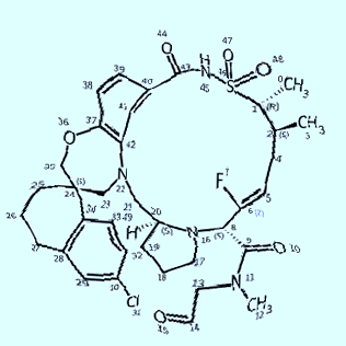 C[C@@H]1[C@@H](C)C/C=C(\F)[C@H](C(=O)N(C)CC=O)N2CCC[C@H]2CN2C[C@@]3(CCCc4cc(Cl)ccc43)COc3ccc(cc32)C(=O)NS1(=O)=O